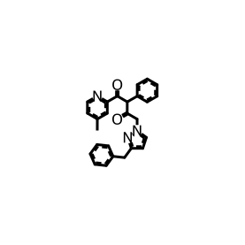 Cc1ccnc(C(=O)C(C(=O)Cn2ccc(Cc3ccccc3)n2)c2ccccc2)c1